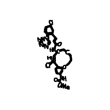 COC(=O)Nc1ccc2c(c1)OCCCCCCC(NC(=O)C=Cc1cc(Cl)ccc1-n1cnnn1)c1nc-2c(Cl)[nH]1